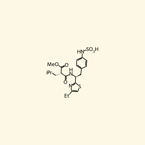 CCc1csc([C@H](Cc2ccc(NS(=O)(=O)O)cc2)NC(=O)[C@H](CC(C)C)C(=O)OC)n1